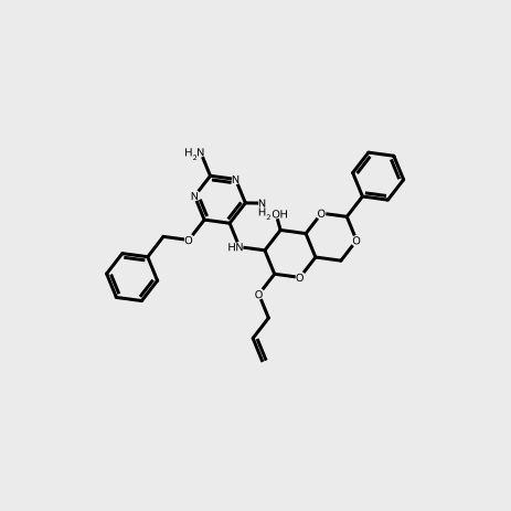 C=CCOC1OC2COC(c3ccccc3)OC2C(O)C1Nc1c(N)nc(N)nc1OCc1ccccc1